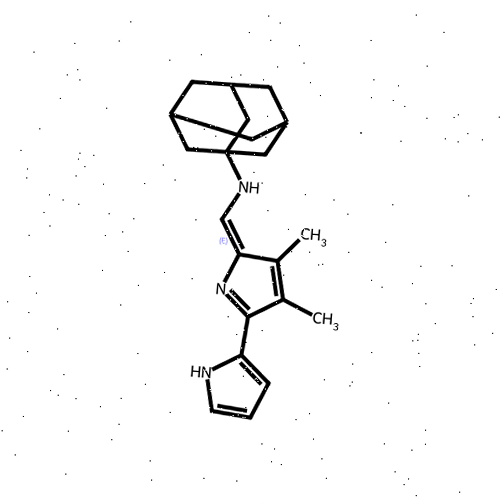 CC1=C(C)/C(=C\NC23CC4CC(CC(C4)C2)C3)N=C1c1ccc[nH]1